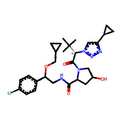 CC(C)(C)[C@@H](C(=O)N1CC(O)CC1C(=O)NCC(OCC1CC1)c1ccc(Cl)cc1)n1cc(C2CC2)nn1